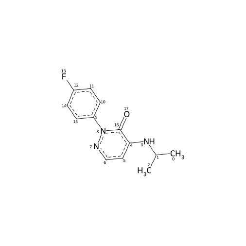 CC(C)Nc1ccnn(-c2ccc(F)cc2)c1=O